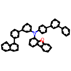 c1ccc(-c2cccc(-c3ccc(N(c4cccc(-c5cccc(-c6cccc7ccccc67)c5)c4)c4cccc5c4oc4ccccc45)cc3)c2)cc1